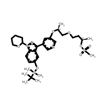 C[C@H](CCOC[C@H](C)Oc1cncc(-c2nn(C3CCCCO3)c3ccc(O[Si](C)(C)C(C)(C)C)cc23)c1)OS(C)(=O)=O